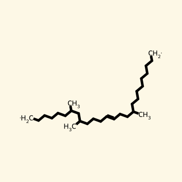 [CH2]CCCCCCCCC(C)CC/C=C/CCCC(C)CC(C)CCCCC[CH2]